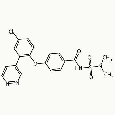 CN(C)S(=O)(=O)NC(=O)c1ccc(Oc2ccc(Cl)cc2-c2ccnnc2)cc1